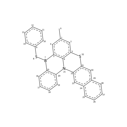 Cc1cc2c3c(c1)B(Sc1ccccc1)c1ccccc1N3c1cc3ccccc3cc1S2